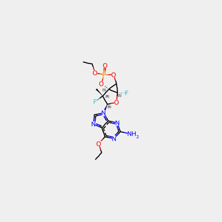 CCOc1nc(N)nc2c1ncn2[C@@H]1O[C@]2(F)C3OP(=O)(OCC)O[C@]32[C@@]1(C)F